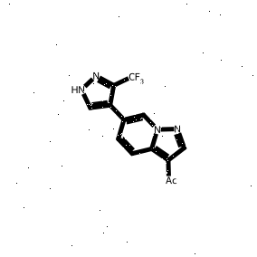 CC(=O)c1cnn2cc(-c3c[nH]nc3C(F)(F)F)ccc12